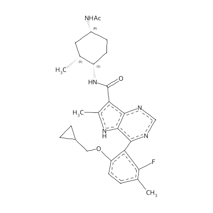 CC(=O)N[C@@H]1CC[C@H](NC(=O)c2c(C)[nH]c3c(-c4c(OCC5CC5)ccc(C)c4F)ncnc23)[C@H](C)C1